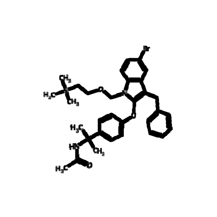 CC(=O)NC(C)(C)c1ccc(Oc2c(Cc3ccccc3)c3cc(Br)ccc3n2COCC[Si](C)(C)C)cc1